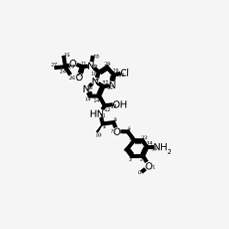 COc1ccc(COC[C@@H](C)NC(O)c2cnn3c(N(C)C(=O)OC(C)(C)C)cc(Cl)nc23)cc1N